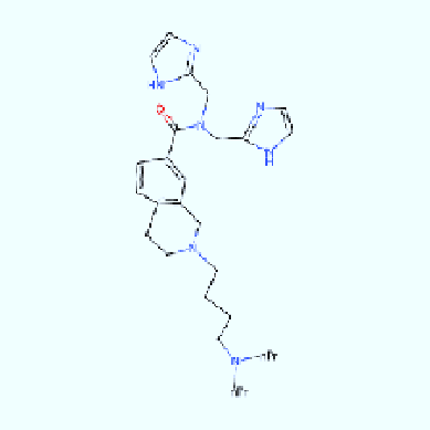 CCCN(CCC)CCCCN1CCc2ccc(C(=O)N(Cc3ncc[nH]3)Cc3ncc[nH]3)cc2C1